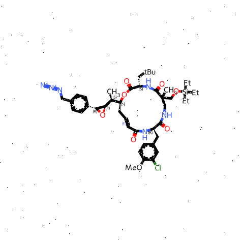 CC[Si](CC)(CC)OCC1(C)CNC(=O)[C@@H](Cc2ccc(OC)c(Cl)c2)NC(=O)/C=C/C[C@@H]([C@H](C)[C@H]2O[C@@H]2c2ccc(CN=[N+]=[N-])cc2)OC(=O)[C@H](CC(C)(C)C)NC1=O